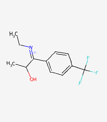 CC/N=C(/c1ccc(C(F)(F)F)cc1)C(C)O